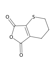 O=C1OC(=O)C2=C1CCCS2